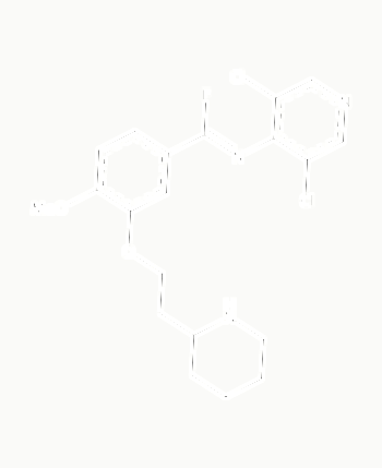 COc1ccc(C(F)=Nc2c(Cl)cncc2Cl)cc1OCCC1CCCCN1